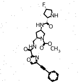 COC(=O)N1C[C@H](NC(=O)[C@@H]2C[C@H](F)CN2)C[C@@H]1CNC(=O)c1nc(C#Cc2ccccc2)co1